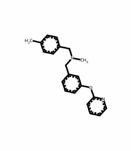 [CH2]c1ccc(CN(C)Cc2cccc(Oc3ccccn3)c2)cc1